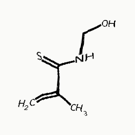 C=C(C)C(=S)NCO